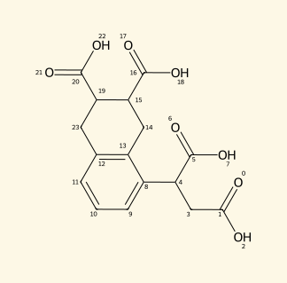 O=C(O)CC(C(=O)O)c1cccc2c1CC(C(=O)O)C(C(=O)O)C2